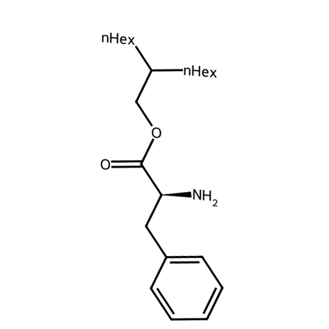 CCCCCCC(CCCCCC)COC(=O)[C@@H](N)Cc1ccccc1